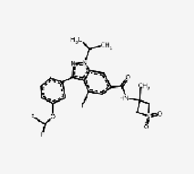 CC(C)n1nc(-c2cccc(OC(F)F)c2)c2c(F)cc(C(=O)NC3(C)CS(=O)(=O)C3)cc21